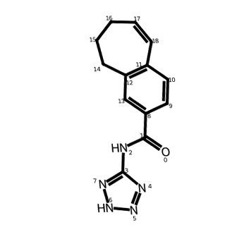 O=C(Nc1nn[nH]n1)c1ccc2c(c1)CCCC=C2